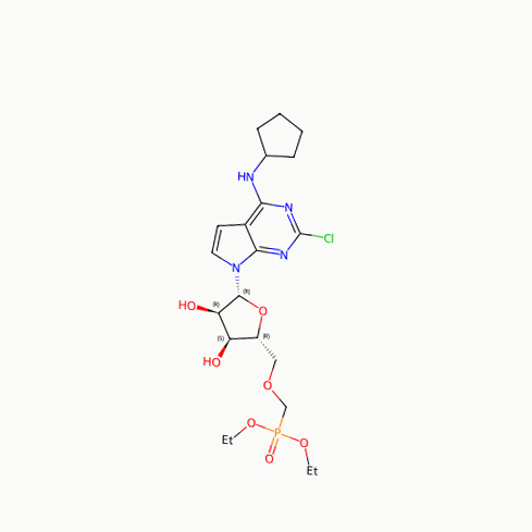 CCOP(=O)(COC[C@H]1O[C@@H](n2ccc3c(NC4CCCC4)nc(Cl)nc32)[C@H](O)[C@@H]1O)OCC